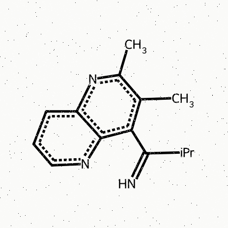 Cc1nc2cccnc2c(C(=N)C(C)C)c1C